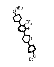 CCCCOC1CCC(c2ccc(C3CCC(c4ccc(OCC)cc4)OC3)c(F)c2C(F)(F)F)CC1